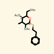 CC(=O)OCC1O[C@H](SCCc2ccccc2)C(OC(C)=O)C(C)[C@H]1OC(C)=O